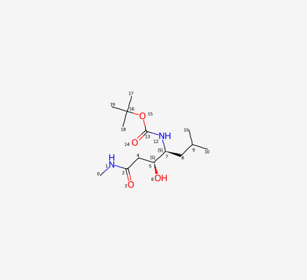 CNC(=O)C[C@H](O)[C@H](CC(C)C)NC(=O)OC(C)(C)C